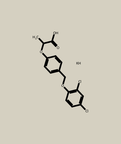 CC(Oc1ccc(COc2ccc(Cl)cc2Cl)cc1)C(=O)O.[KH]